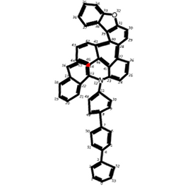 c1ccc(-c2ccc(-c3ccc(N(c4cccc5ccccc45)c4cccc5c6ccc7oc8ccccc8c7c6c6ccccc6c45)cc3)cc2)cc1